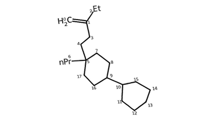 C=C(CC)CCC1(CCC)CCC(C2CCCCC2)CC1